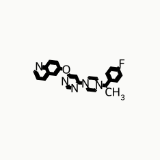 C[C@@H](c1ccc(F)cc1)N1CCN(c2cc(Oc3ccc4ncccc4c3)ncn2)CC1